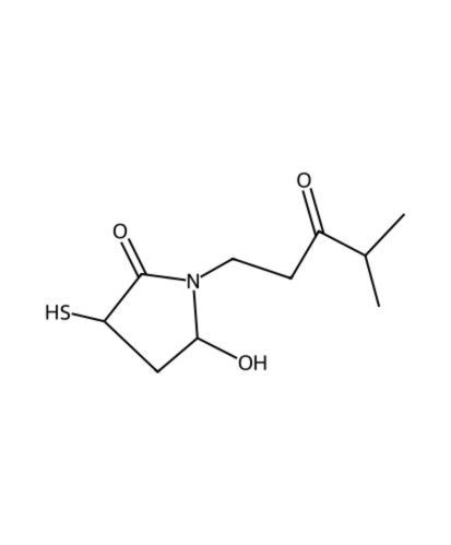 CC(C)C(=O)CCN1C(=O)C(S)CC1O